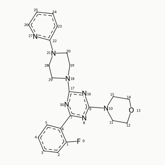 Fc1ccccc1-c1nc(N2CCOCC2)nc(N2CCN(c3ccccn3)CC2)n1